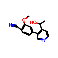 COc1cc(-c2cnccc2C(C)O)ccc1C#N